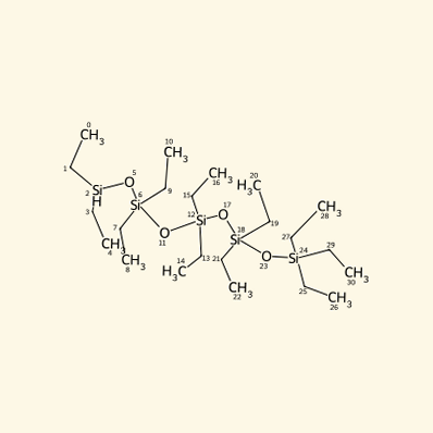 CC[SiH](CC)O[Si](CC)(CC)O[Si](CC)(CC)O[Si](CC)(CC)O[Si](CC)(CC)CC